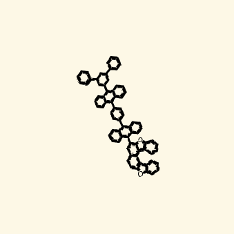 c1ccc(-c2cc(-c3ccccc3)cc(-c3c4ccccc4c(-c4ccc(-c5c6ccccc6c(-c6cc7ccc8oc9ccccc9c8c7c7c6oc6ccccc67)c6ccccc56)cc4)c4ccccc34)c2)cc1